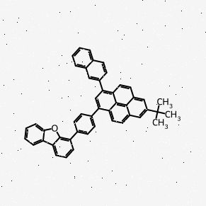 CC(C)(C)c1cc2ccc3c(-c4ccc(-c5cccc6c5oc5ccccc56)cc4)cc(-c4ccc5ccccc5c4)c4ccc(c1)c2c34